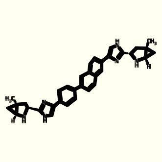 C[C@]12C[C@@H](c3nc(-c4ccc(-c5ccc6cc(-c7c[nH]c([C@@H]8C[C@]9(C)C[C@@H]9N8)n7)ccc6c5)cc4)c[nH]3)N[C@H]1C2